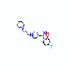 Fc1ccc2c(C3CCN(CCCN4CCCCC4)CC3)noc2c1